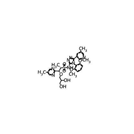 COc1cccc(OC)c1-n1c(NS(=O)(=O)[C@@H](C)[C@@H](OCC(O)CO)c2ncc(C)cn2)nnc1-c1cncc(C)c1